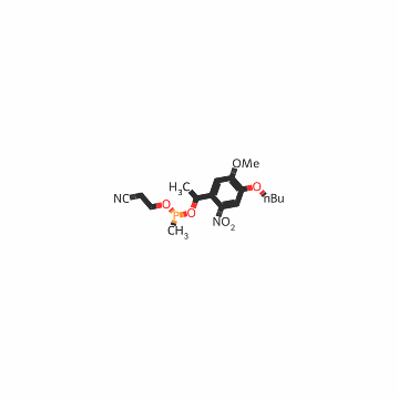 CCCCOc1cc([N+](=O)[O-])c(C(C)OP(C)OCCC#N)cc1OC